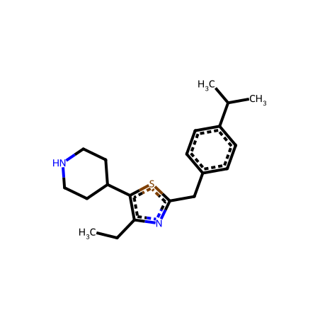 CCc1nc(Cc2ccc(C(C)C)cc2)sc1C1CCNCC1